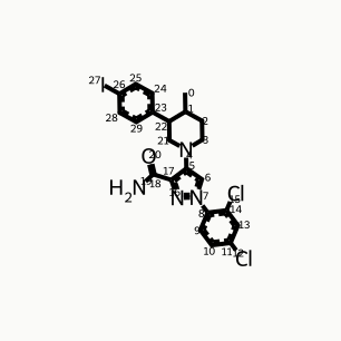 CC1CCN(c2cn(-c3ccc(Cl)cc3Cl)nc2C(N)=O)CC1c1ccc(I)cc1